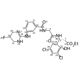 CCOC(=O)C[C@@H](NC(=O)CNC(=O)c1cccc(NC2=NCC(F)CN2)c1)c1cc(Cl)cc(Cl)c1O